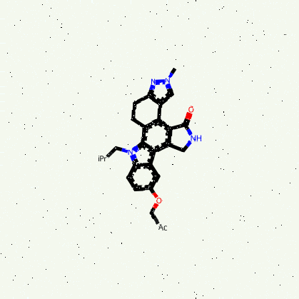 CC(=O)COc1ccc2c(c1)c1c3c(c4c(c1n2CC(C)C)CCc1nn(C)cc1-4)C(=O)NC3